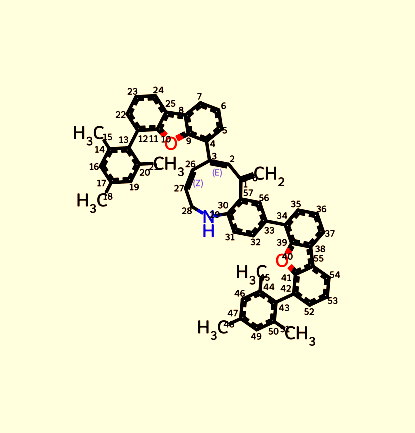 C=C1/C=C(c2cccc3c2oc2c(-c4c(C)cc(C)cc4C)cccc23)\C=C/CNc2ccc(-c3cccc4c3oc3c(-c5c(C)cc(C)cc5C)cccc34)cc21